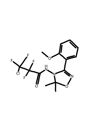 COc1ccccc1C1=NOC(C)(C)N1NC(=O)C(F)(F)C(F)(F)Cl